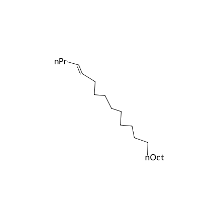 [CH2]CCC=CCCCCCCCCCCCCCCCCC